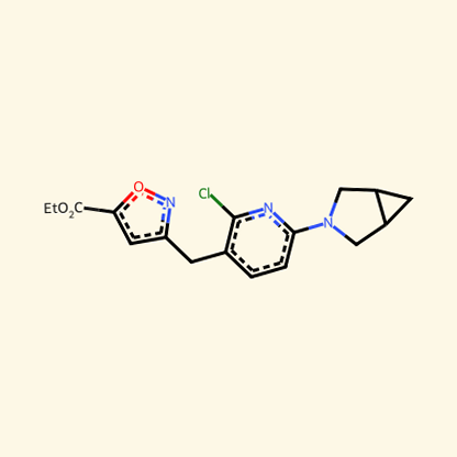 CCOC(=O)c1cc(Cc2ccc(N3CC4CC4C3)nc2Cl)no1